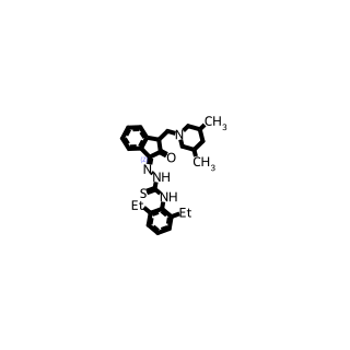 CCc1cccc(CC)c1NC(=S)N/N=C1\C(=O)C(CN2CC(C)CC(C)C2)c2ccccc21